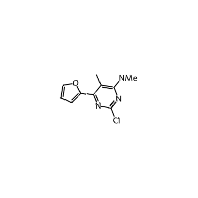 CNc1nc(Cl)nc(-c2ccco2)c1C